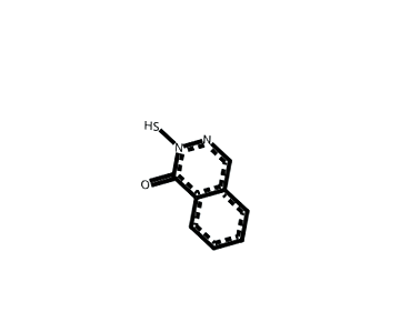 O=c1c2ccccc2cnn1S